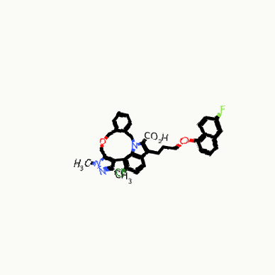 Cc1nn(C)c2c1-c1c(Cl)ccc3c(CCCOc4cccc5cc(F)ccc45)c(C(=O)O)n(c13)Cc1ccccc1COC2